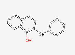 Oc1c([Se]c2ccccc2)ccc2ccccc12